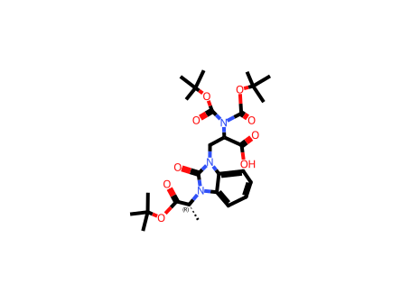 C[C@H](C(=O)OC(C)(C)C)n1c(=O)n(CC(C(=O)O)N(C(=O)OC(C)(C)C)C(=O)OC(C)(C)C)c2ccccc21